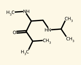 CNC(CNC(C)C)C(=O)C(C)C